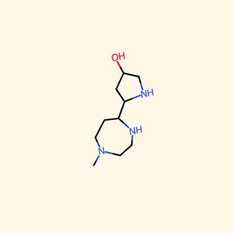 CN1CCNC(C2CC(O)CN2)CC1